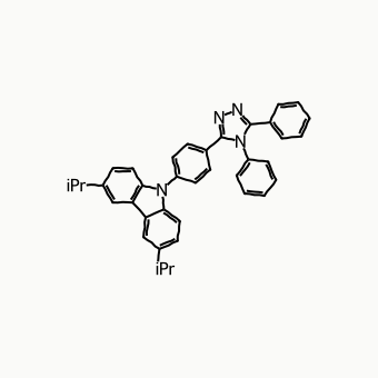 CC(C)c1ccc2c(c1)c1cc(C(C)C)ccc1n2-c1ccc(-c2nnc(-c3ccccc3)n2-c2ccccc2)cc1